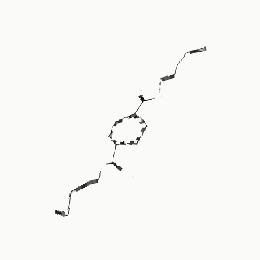 C=CC=COC(=O)c1ccc(C(=O)OC=CC=C)cc1